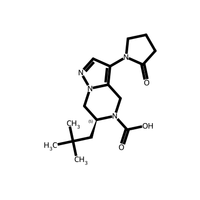 CC(C)(C)C[C@H]1Cn2ncc(N3CCCC3=O)c2CN1C(=O)O